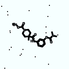 CN(C)C(=O)Oc1cccc(NC(=O)C2(C)CCN(C(=O)OC(C)(C)C)CC2)c1